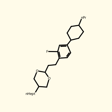 CCCCCCCC1COC(CCc2ccc(C3CCC(CCC)CC3)cc2F)OC1